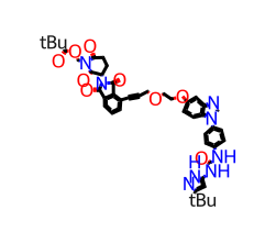 CC(C)(C)C(=O)OCN1C(=O)CCC(N2C(=O)c3cccc(C#CCOCCOc4ccc5c(c4)ncn5-c4ccc(NC(=O)Nc5cc(C(C)(C)C)n[nH]5)cc4)c3C2=O)C1=O